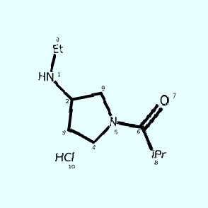 CCNC1CCN(C(=O)C(C)C)C1.Cl